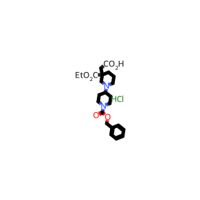 CCOC(=O)C1(CC(=O)O)CCCN(C2CCN(C(=O)OCc3ccccc3)CC2)C1.Cl